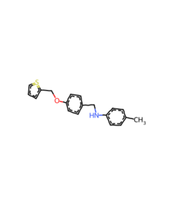 Cc1ccc(NCc2ccc(OCc3cccs3)cc2)cc1